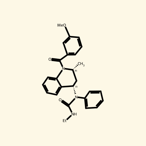 CCNC(=O)N(c1ccccc1)[C@H]1C[C@@H](C)N(C(=O)c2cccc(OC)c2)c2ccccc21